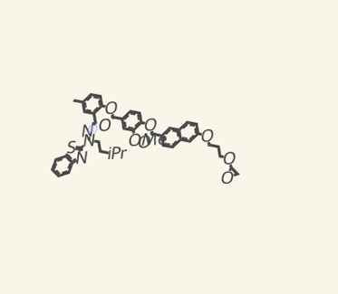 COc1cc(C(=O)Oc2ccc(C)cc2/C=N/N(CCC(C)C)c2nc3ccccc3s2)ccc1OC(=O)c1ccc2cc(OCCCOC3CO3)ccc2c1